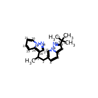 CC(Cc1ccc2cc(C(C)(C)C)nn2c1)c1cnn2ccccc12